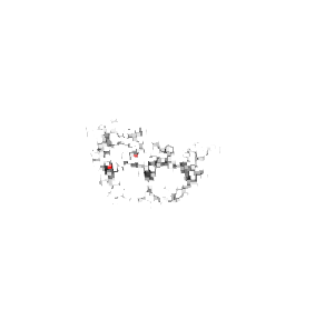 Cc1cc2ccc1Oc1cc3cc(c1)[C@@H](NC(=O)[C@H](CC(N)=O)NC(=O)[C@H](NC(=O)[C@@H](CC(C)C)N(C)C)[C@H](O)c1ccc(c(C)c1)O3)C(=O)N[C@H]1C(=O)N[C@H](C(=O)N[C@@H]([C](=O)[Rb])c3cc(O)c(C)c(O)c3-c3cc1ccc3O)[C@@H]2C